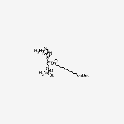 CCCCCCCCCCCCCCCCCCCCCC(=O)OC[C@H](CCOC(=O)[C@@H](N)C(C)CC)Cn1cnc2cnc(N)nc21